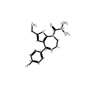 CCc1cc2c(s1)N(C(=O)N(C)C)CCN=C2c1ccc(F)cc1